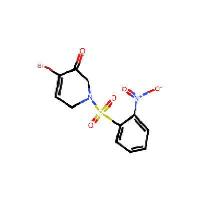 O=C1CN(S(=O)(=O)c2ccccc2[N+](=O)[O-])CC=C1Br